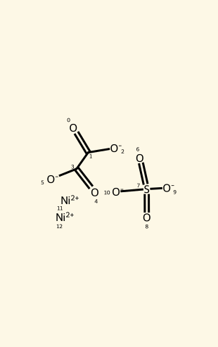 O=C([O-])C(=O)[O-].O=S(=O)([O-])[O-].[Ni+2].[Ni+2]